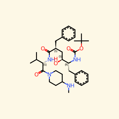 CNC1CCN(C(=O)[C@@H](NC(=O)[C@@H](Cc2ccccc2)C[C@H](O)[C@@H](Cc2ccccc2)NC(=O)OC(C)(C)C)C(C)C)CC1